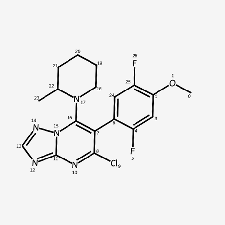 COc1cc(F)c(-c2c(Cl)nc3ncnn3c2N2CCCCC2C)cc1F